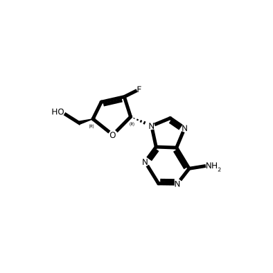 Nc1ncnc2c1ncn2[C@@H]1O[C@@H](CO)C=C1F